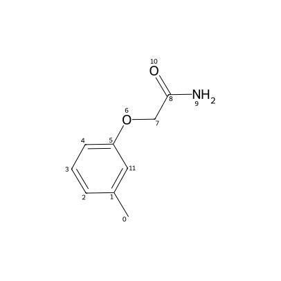 Cc1cccc(OCC(N)=O)c1